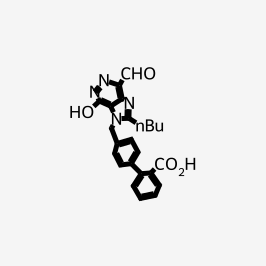 CCCCc1nc2c(C=O)nnc(O)c2n1Cc1ccc(-c2ccccc2C(=O)O)cc1